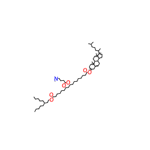 CCCCCC(CCCCC)CCOC(=O)CCCCCCCC(CCCCCCCC(=O)O[C@H]1CC[C@@]2(C)C(=CCC3C2CC[C@@]2(C)C3CC[C@@H]2C(C)CCCC(C)C)C1)OC(=O)CCCN(C)C